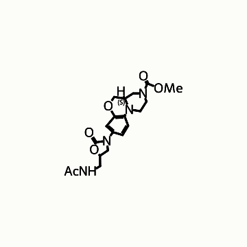 COC(=O)N1CCN2c3ccc(N4CC(CNC(C)=O)OC4=O)cc3OC[C@@H]2C1